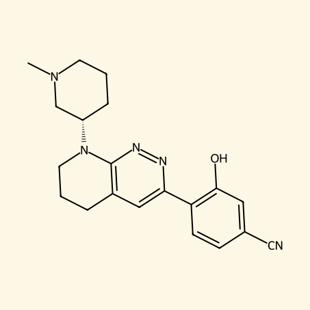 CN1CCC[C@H](N2CCCc3cc(-c4ccc(C#N)cc4O)nnc32)C1